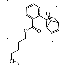 CCCCCOC(=O)c1ccccc1C1CC2C=CC1C2=O